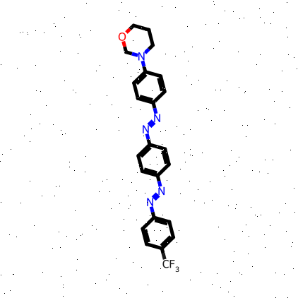 FC(F)(F)c1ccc(N=Nc2ccc(N=Nc3ccc(N4CCCOC4)cc3)cc2)cc1